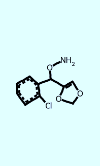 NOC(C1=COCO1)c1ccccc1Cl